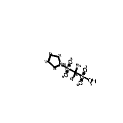 O=S(=O)(O)C(F)(F)S(=O)(=O)N1CCCC1